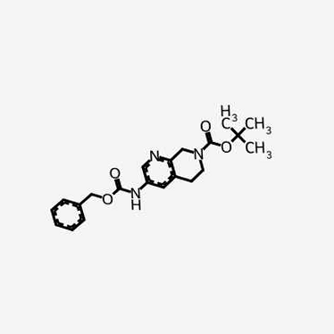 CC(C)(C)OC(=O)N1CCc2cc(NC(=O)OCc3ccccc3)cnc2C1